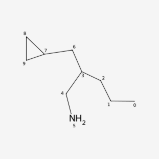 CCCC(CN)CC1CC1